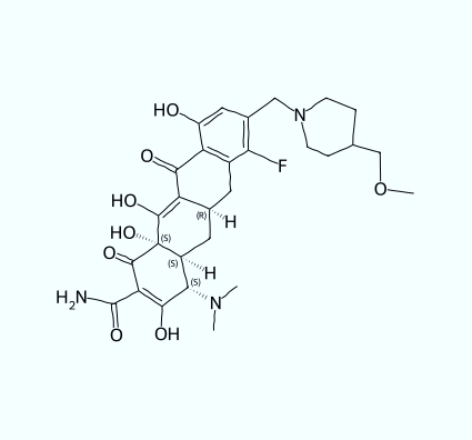 COCC1CCN(Cc2cc(O)c3c(c2F)C[C@H]2C[C@H]4[C@H](N(C)C)C(O)=C(C(N)=O)C(=O)[C@@]4(O)C(O)=C2C3=O)CC1